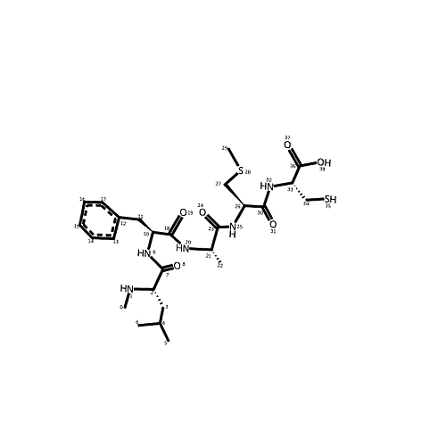 CN[C@@H](CC(C)C)C(=O)N[C@@H](Cc1ccccc1)C(=O)N[C@@H](C)C(=O)N[C@@H](CSC)C(=O)N[C@@H](CS)C(=O)O